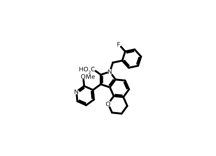 COc1ncccc1-c1c(C(=O)O)n(Cc2ccccc2F)c2ccc3c(c12)OCCC3